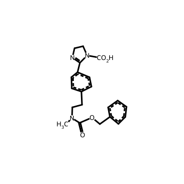 CN(CCc1ccc(C2=NCCN2C(=O)O)cc1)C(=O)OCc1ccccc1